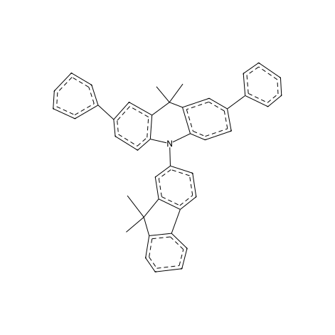 CC1(C)c2ccccc2-c2ccc(N3c4ccc(-c5ccccc5)cc4C(C)(C)c4cc(-c5ccccc5)ccc43)cc21